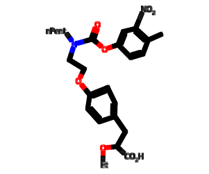 CCCCCN(CCOc1ccc(CC(OCC)C(=O)O)cc1)C(=O)Oc1ccc(C)c([N+](=O)[O-])c1